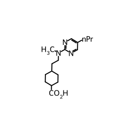 CCCc1cnc(N(C)CCC2CCC(C(=O)O)CC2)nc1